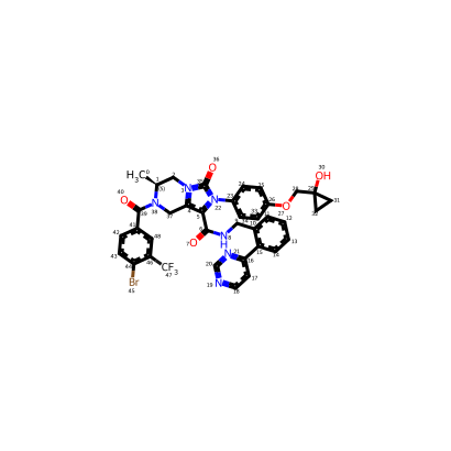 C[C@H]1Cn2c(c(C(=O)NCc3ccccc3-c3ccncn3)n(-c3ccc(OCC4(O)CC4)cc3)c2=O)CN1C(=O)c1ccc(Br)c(C(F)(F)F)c1